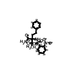 CC(C)(C)C(CCc1ccccc1)(NS(=O)(=O)c1ccccc1[N+](=O)[O-])C(N)=O